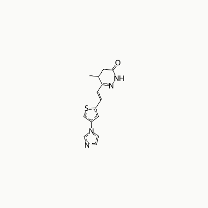 CC1CC(=O)NN=C1/C=C/c1cc(-n2ccnc2)cs1